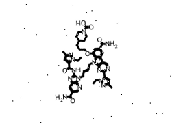 CCn1nc(C)cc1C(=O)Nc1nc2cc(C(N)=O)cnc2n1CC=CCn1c2nc(-c3cc(C)nn3CC)ncc2c2cc(C(N)=O)cc(OCCCC3CCN(C(=O)O)CC3)c21